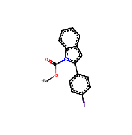 CC(C)(C)OC(=O)n1c(-c2ccc(I)cc2)cc2ccccc21